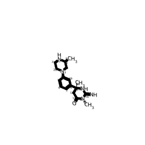 CC1CN(c2cccc([C@]3(C)CC(=O)N(C)C(=N)N3)c2)CCN1